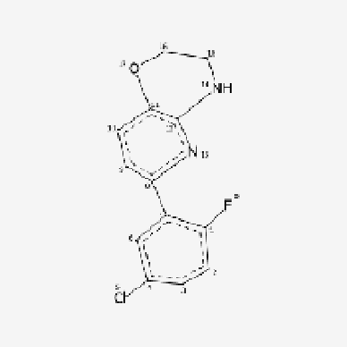 Fc1ccc(Cl)cc1-c1ccc2c(n1)NCCO2